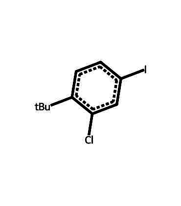 CC(C)(C)c1ccc(I)cc1Cl